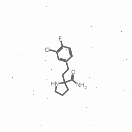 NC(=O)C1(C[CH]c2ccc(F)c(Cl)c2)CCCN1